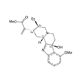 C=C(C(=O)OC)[C@H]1C[C@H]2C3=Nc4cccc(OC)c4[C@@]3(O)CCN2C[C@@H]1CC